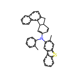 Cc1ccccc1N(C1=CC2c3c(ccc4ccccc34)CC2C=C1)c1cc2c(cc1C)sc1ccccc12